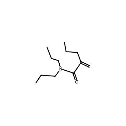 C=C(CCC)C(=O)N(CCC)CCC